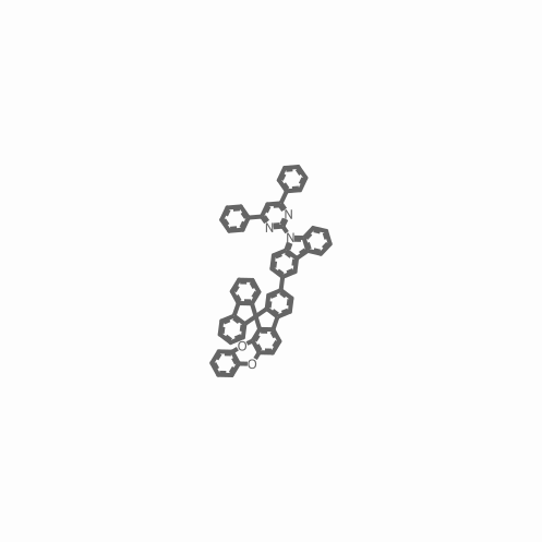 c1ccc(-c2cc(-c3ccccc3)nc(-n3c4ccccc4c4cc(-c5ccc6c(c5)C5(c7ccccc7-c7ccccc75)c5c-6ccc6c5Oc5ccccc5O6)ccc43)n2)cc1